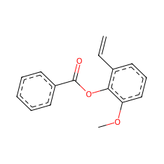 C=Cc1cccc(OC)c1OC(=O)c1ccccc1